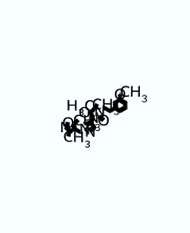 COc1cccc(CCN2C(=O)N(c3cnn(Cc4c(C)noc4C)c3)C(=O)C2(C)C)c1